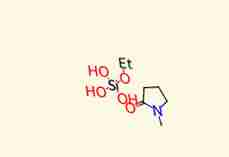 CCO[Si](O)(O)O.CN1CCCC1=O